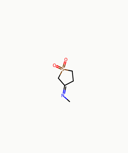 C/N=C1\CCS(=O)(=O)C1